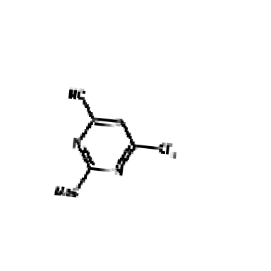 CSc1nc(C#N)cc(C(F)(F)F)n1